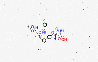 CNC(=O)CCCCN(CC(=O)NCCc1ccc(Cl)cc1)Cc1cccc(-c2ccc(C(=O)NC3CC(=O)NC[C@H](CC(=O)O)C3)cc2)c1